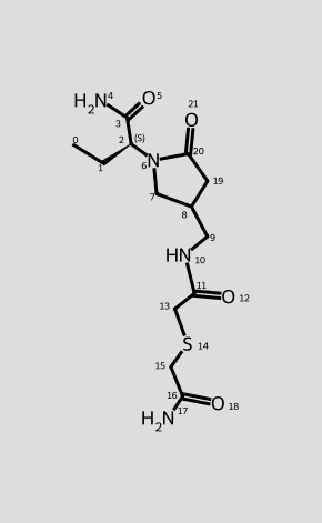 CC[C@@H](C(N)=O)N1CC(CNC(=O)CSCC(N)=O)CC1=O